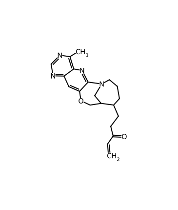 C=CC(=O)CCC1CCCN2CC1COc1cc3ncnc(C)c3nc12